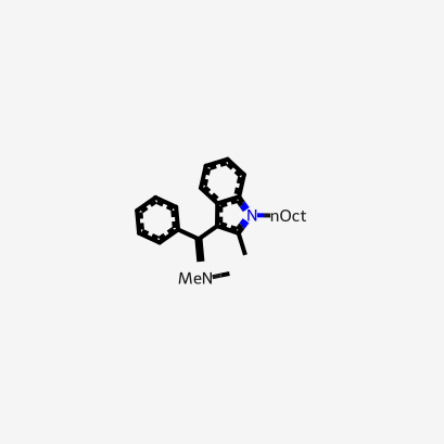 C=C(c1ccccc1)c1c(C)n(CCCCCCCC)c2ccccc12.CNC